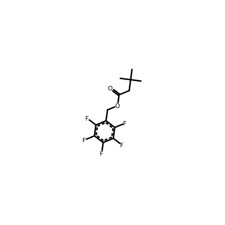 CC(C)(C)CC(=O)OCc1c(F)c(F)c(F)c(F)c1F